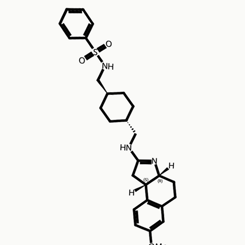 COc1ccc2c(c1)CC[C@H]1N=C(NC[C@H]3CC[C@H](CNS(=O)(=O)c4ccccc4)CC3)C[C@@H]21